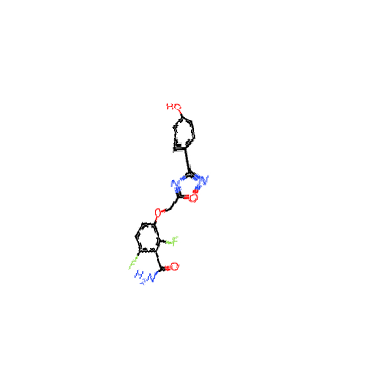 NC(=O)c1c(F)ccc(OCc2nc(-c3ccc(O)cc3)no2)c1F